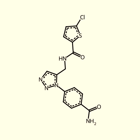 NC(=O)c1ccc(-n2nncc2CNC(=O)c2ccc(Cl)s2)cc1